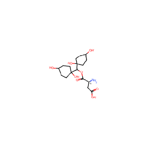 N[C@@H](CC(=O)O)C(=O)OC(C1(O)CCC(O)CC1)C1(O)CCC(O)CC1